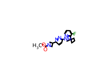 COC(=O)N1CC(c2ccc(NCC3(c4ncccc4F)CCC3)nn2)C1